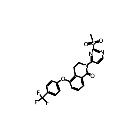 CS(=O)(=O)c1nccc(N2CCc3c(Oc4ccc(C(F)(F)F)cc4)cccc3C2=O)n1